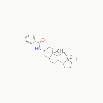 C[C@@]12CCCC1C1CCC3C[C@H](NC(=O)c4ccccc4)CC[C@]3(C)C1CC2